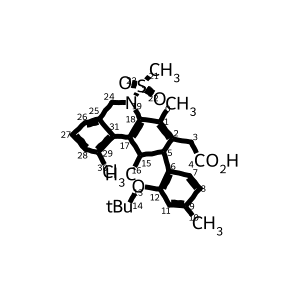 CC1=C(CC(=O)O)C(c2ccc(C)cc2OC(C)(C)C)C(C)C2=C1N(S(C)(=O)=O)Cc1cccc(Cl)c12